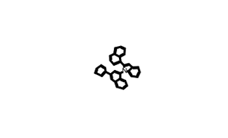 c1ccc(-c2cc(-n3c(-c4cccc5ccccc45)cc4ccccc43)c3ccccc3c2)cc1